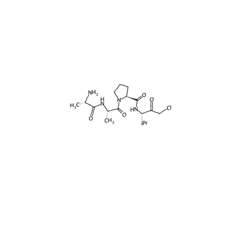 CC(C)[C@H](NC(=O)[C@@H]1CCCN1C(=O)[C@H](C)NC(=O)[C@H](C)N)C(=O)CCl